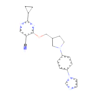 N#Cc1cnc(C2CC2)nc1OCC1CCN(c2ccc(-n3ccnc3)cc2)C1